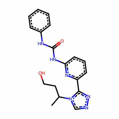 CC(CCO)n1cnnc1-c1cccc(NC(=O)Nc2ccccc2)n1